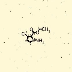 CCOC(=O)c1c(Cl)ccn1N